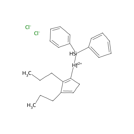 CCCC1=CC[C]([Hf+2][SiH](c2ccccc2)c2ccccc2)=C1CCC.[Cl-].[Cl-]